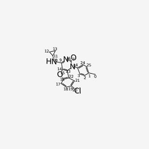 Cc1ccc(-n2c(=O)nc(NC3CC3)c3oc4ccc(Cl)cc4c32)cc1